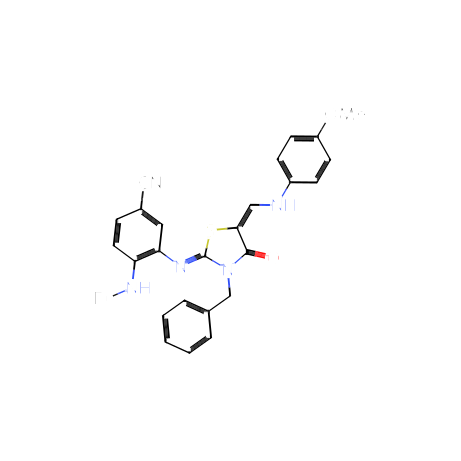 CCNc1ccc(C#N)cc1N=C1SC(=CNc2ccc(OC)cc2)C(=O)N1Cc1ccccc1